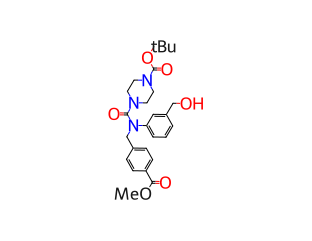 COC(=O)c1ccc(CN(C(=O)N2CCN(C(=O)OC(C)(C)C)CC2)c2cccc(CO)c2)cc1